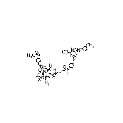 Cc1cccc(/C=N/Nc2cc(N3CCOCC3)nc(OCCc3ccc(NC(=O)CCCCCNC(=O)CSC(C)(C)[C@H](NC(=O)C4(F)CC4)C(=O)N4C[C@H](O)C[C@H]4C(=O)NCc4ccc(-c5scnc5C)cc4)cc3)n2)c1